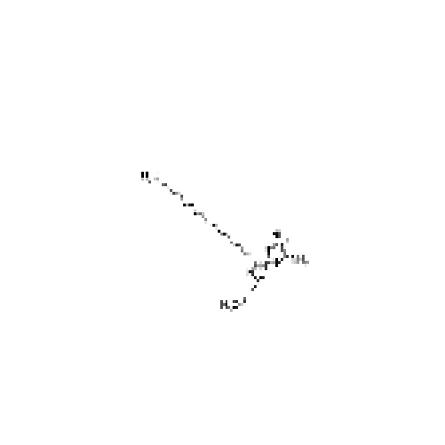 CCCCCCCCCCCCCCCCCc1nc(CCCC)cn1-c1nc(N)nc(N)n1